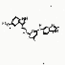 CCOc1ccc2[nH]cc(CCNc3nc(C)cc(Nc4ccc5[nH]c(C)nc5c4)n3)c2c1